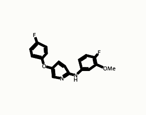 COc1cc(Nc2ccc(Oc3ccc(F)cc3)cn2)ccc1F